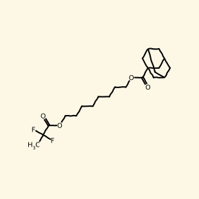 CC(F)(F)C(=O)OCCCCCCCCOC(=O)C12CC3CC(CC(C3)C1)C2